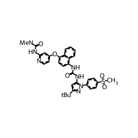 CNC(=O)Nc1cc(Oc2ccc(NC(=O)Nc3cc(C(C)(C)C)nn3-c3ccc(S(C)(=O)=O)cc3)c3ccccc23)ccn1